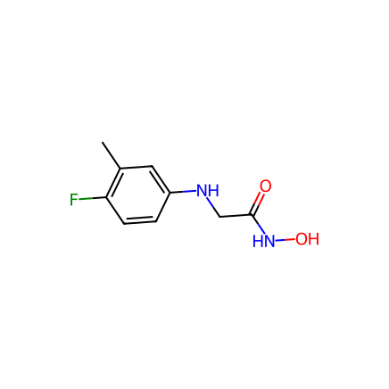 Cc1cc(NCC(=O)NO)ccc1F